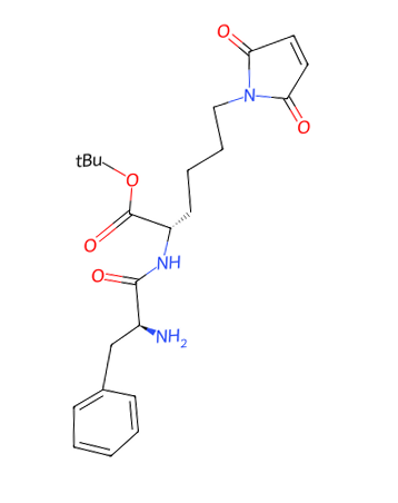 CC(C)(C)OC(=O)[C@H](CCCCN1C(=O)C=CC1=O)NC(=O)[C@@H](N)Cc1ccccc1